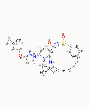 CC1(C)CC2CCCCc3ccc(cc3)[S+]([O-])NC(=O)c3ccc(-n4ccc(OCCC5(C(F)(F)F)CC5)n4)nc3N1C2